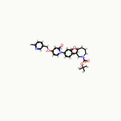 Cc1ccc(COc2ccn(-c3ccc4c5c(oc4c3)CCCN(C(=O)OC(C)(C)C)C5)c(=O)c2)cn1